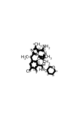 Cc1nc([C@@H](C)c2cc(Cl)c(F)c(C(=O)N[C@H]3CCCOC3)c2OC(C)C)n2ccnc(N)c12